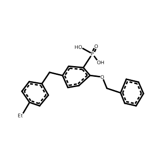 CCc1ccc(Cc2ccc(OCc3ccccc3)c(P(=O)(O)O)c2)cc1